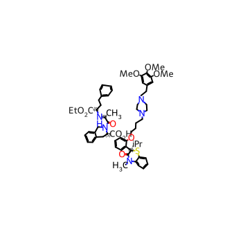 CCOC(=O)[C@H](CCc1ccccc1)N[C@@H](C)C(=O)N1Cc2ccccc2C[C@H]1C(=O)O.COc1cc(CCN2CCN(CCCCOc3ccccc3[C@@]3(C(C)C)Sc4ccccc4N(C)C3=O)CC2)cc(OC)c1OC